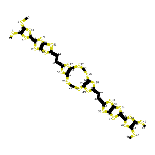 CSC1=C(SC)SC(=C2SC3=C(SC(=CC=C4SC5=C(SCSC6=C(SCS5)SC(=CC=C5SC7=C(S5)SC(=C5SC(SC)=C(SC)S5)S7)S6)S4)S3)S2)S1